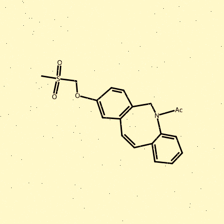 CC(=O)N1Cc2ccc(OCS(C)(=O)=O)cc2C=Cc2ccccc21